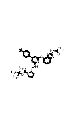 CC(=O)Nc1nc2c(Oc3cc(-c4ccc(C(F)(F)F)cc4)nc(NC[C@@H]4CCCN4C(=O)OC(C)(C)C)n3)cccc2s1